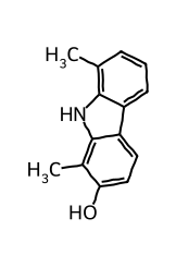 Cc1cccc2c1[nH]c1c(C)c(O)ccc12